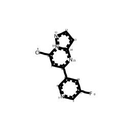 Fc1cncc(-c2cc(Cl)n3nccc3n2)c1